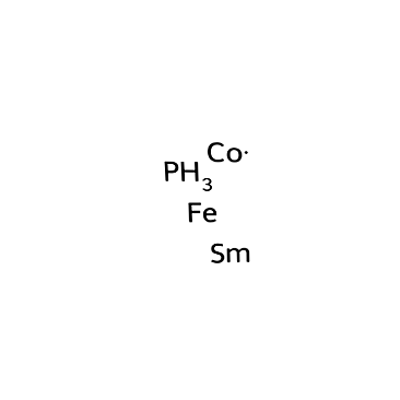 P.[Co].[Fe].[Sm]